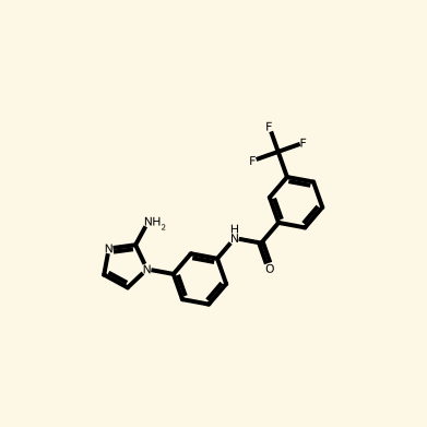 Nc1nccn1-c1cccc(NC(=O)c2cccc(C(F)(F)F)c2)c1